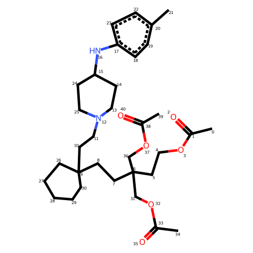 CC(=O)OCCC(CCC1(CCN2CCC(Nc3ccc(C)cc3)CC2)CCCCC1)(COC(C)=O)COC(C)=O